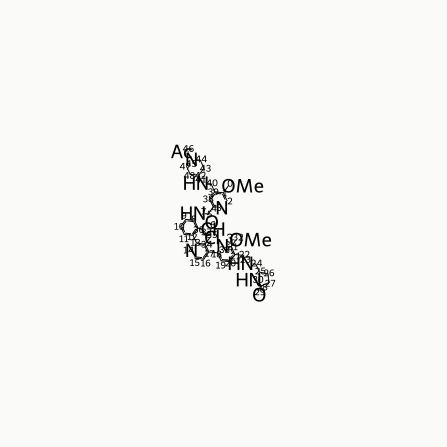 COc1cnc(C(=O)Nc2cccc(-c3nccc(-c4ccc(CNCC5CCC(=O)N5)c(OC)n4)c3Cl)c2C)cc1CNC1CCN(C(C)=O)CC1